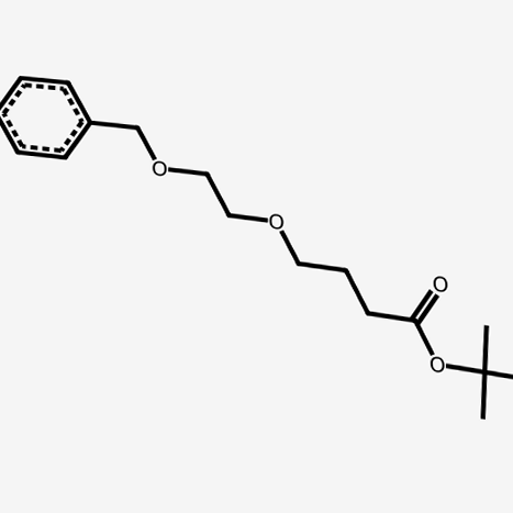 CC(C)(C)OC(=O)CCCOCCOCc1ccccc1